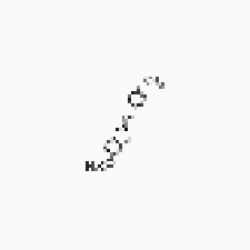 CCc1ccc(C=NN=Cc2ccc(OC)cc2F)cc1